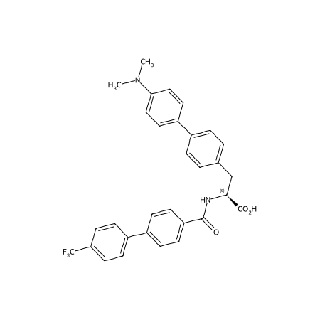 CN(C)c1ccc(-c2ccc(C[C@H](NC(=O)c3ccc(-c4ccc(C(F)(F)F)cc4)cc3)C(=O)O)cc2)cc1